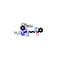 COc1c(C)ccc2c1nc(NCCCCNC(=O)c1ccccc1F)c1nnc(C)n12